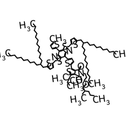 CCCCCCCCCCCCC(CCCCCCCCCC)Cc1ccc(-c2nc3c(-c4ccc(-c5sc(C(C)(C)CC)c6c5C(=O)N(CCCOCC(CC)CCCC)C6=O)s4)c4sc(-c5ccc(CC(CCCCCCCCCC)CCCCCCCCCCCC)s5)nc4c(-c4ccc(C)s4)c3s2)s1